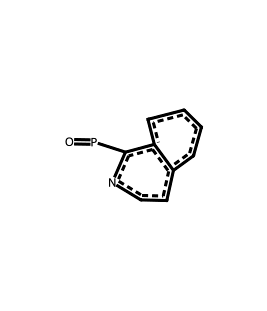 O=Pc1nccc2ccccc12